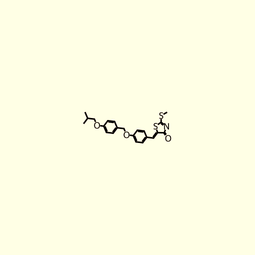 CSC1=NC(=O)/C(=C/c2ccc(OCc3ccc(OCC(C)C)cc3)cc2)S1